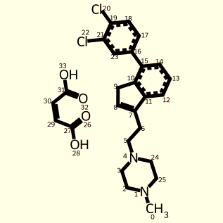 CN1CCN(CCC2=CCc3c2cccc3-c2ccc(Cl)c(Cl)c2)CC1.O=C(O)/C=C\C(=O)O